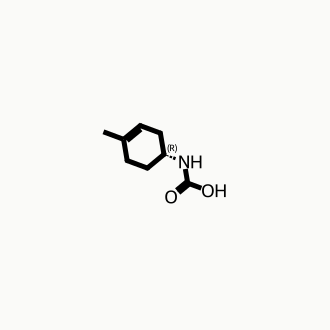 CC1=CC[C@H](NC(=O)O)CC1